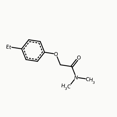 CCc1ccc(OCC(=O)N(C)C)cc1